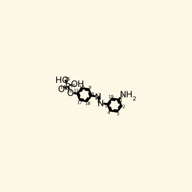 Nc1cccc(N=Nc2ccc(OP(=O)(O)O)cc2)c1